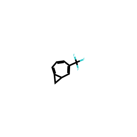 FC(F)(F)C1=CC2CC2=CC=C1